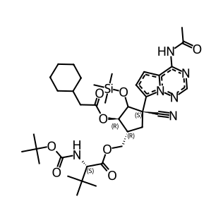 CC(=O)Nc1ncnn2c([C@]3(C#N)C[C@H](COC(=O)[C@@H](NC(=O)OC(C)(C)C)C(C)(C)C)[C@@H](OC(=O)CC4CCCCC4)C3O[Si](C)(C)C)ccc12